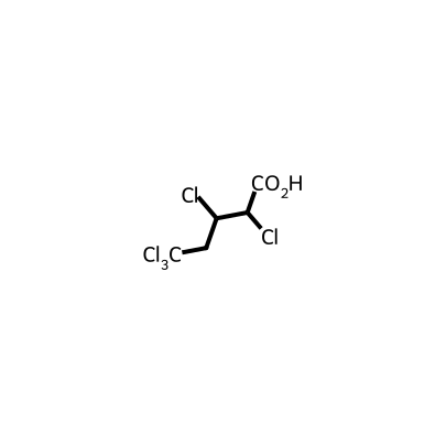 O=C(O)C(Cl)C(Cl)CC(Cl)(Cl)Cl